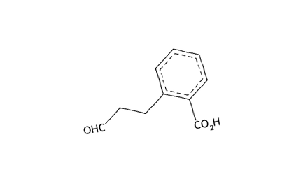 O=CCCc1ccccc1C(=O)O